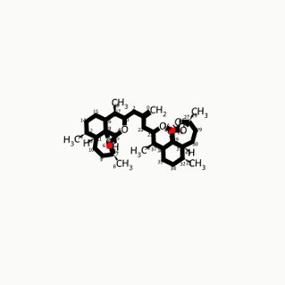 C=C(CC1O[C@@H]2O[C@]3(C)CC[C@H]4[C@H](C)CCC([C@H]1C)C24OO3)CC1O[C@@H]2O[C@]3(C)CC[C@H]4[C@H](C)CCC([C@H]1C)C24OO3